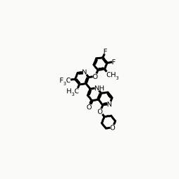 Cc1c(Oc2ncc(C(F)(F)F)c(C)c2-c2cc(=O)c3c(OC4CCOCC4)nccc3[nH]2)ccc(F)c1F